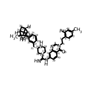 Cc1ccc(CCn2cnc3cc(NC(=N)N4CCN[C@@H](Cc5cccc([C@H]6C[C@H]7C[C@H]([C@@H]6C)C7(C)C)c5)C4)ccc3c2=O)c(F)c1